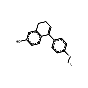 COc1ccc(C2=CCCc3cc(O)ccc32)cc1